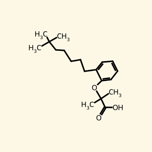 CC(C)(C)CCCCCc1ccccc1OC(C)(C)C(=O)O